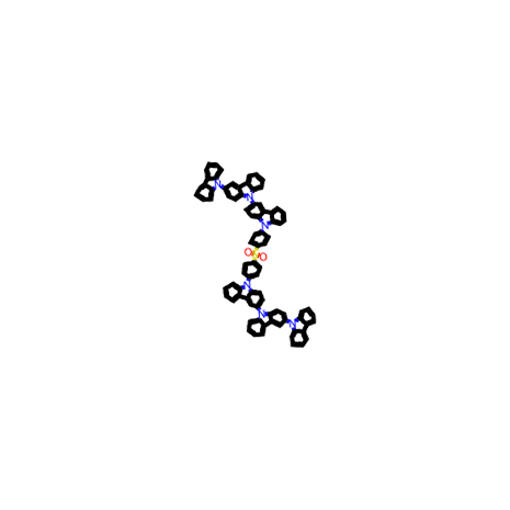 O=S(=O)(c1ccc(-n2c3ccccc3c3cc(-n4c5ccccc5c5cc(-n6c7ccccc7c7ccccc76)ccc54)ccc32)cc1)c1ccc(-n2c3ccccc3c3cc(-n4c5ccccc5c5cc(-n6c7ccccc7c7ccccc76)ccc54)ccc32)cc1